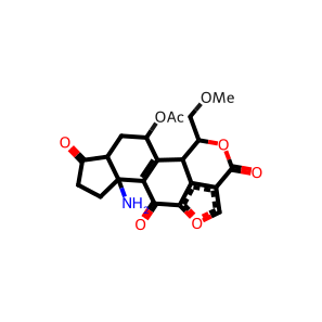 COCC1OC(=O)c2coc3c2C1C1=C(C3=O)C2(N)CCC(=O)C2CC1OC(C)=O